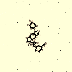 N#Cc1ccnc(CC[C@]2(O)CCC3=Cc4c(cnn4-c4ccc(F)cc4)C[C@@]32C2CC2)c1